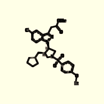 CCOc1ccc(S(=O)(=O)N2C[C@@H](CC3CCCC3)[C@@H](n3nc(CC(=O)OC)c4cc(Cl)ccc43)C2)cc1